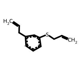 C=CCSc1cc[c]c(CC=C)c1